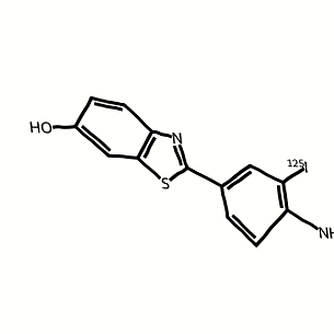 Nc1ccc(-c2nc3ccc(O)cc3s2)cc1[125I]